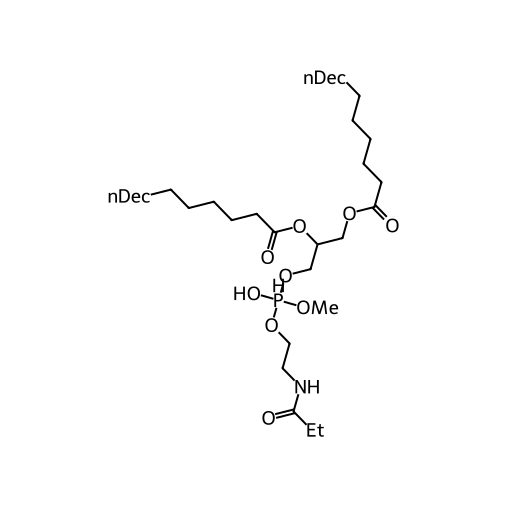 CCCCCCCCCCCCCCCC(=O)OCC(CO[PH](O)(OC)OCCNC(=O)CC)OC(=O)CCCCCCCCCCCCCCC